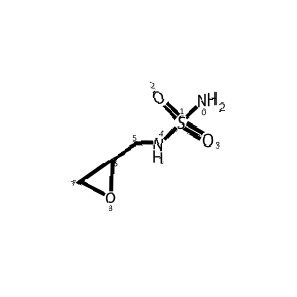 NS(=O)(=O)NCC1CO1